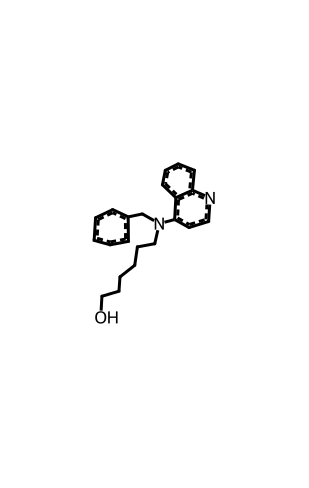 OCCCCCCN(Cc1ccccc1)c1ccnc2ccccc12